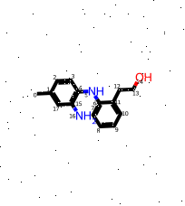 Cc1ccc(Nc2ccccc2CCO)c(N)c1